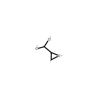 ClC(Cl)C1CO1